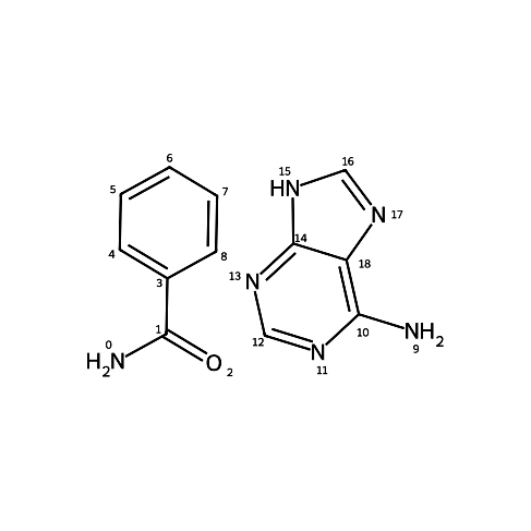 NC(=O)c1ccccc1.Nc1ncnc2[nH]cnc12